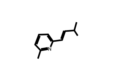 Cc1cccc(/C=C/C(C)C)n1